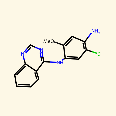 COc1cc(N)c(Cl)cc1Nc1ncnc2ccccc12